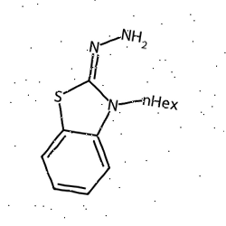 CCCCCCn1c(=NN)sc2ccccc21